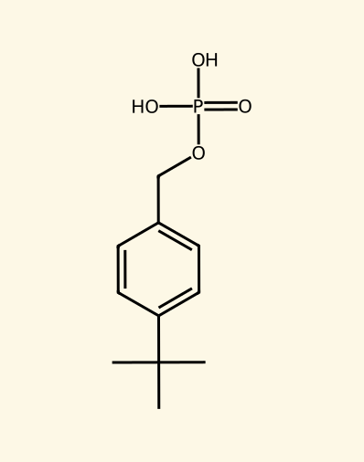 CC(C)(C)c1ccc(COP(=O)(O)O)cc1